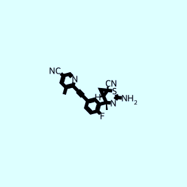 Cc1cc(C#N)cnc1C#Cc1ccc(F)c([C@@]2(C)N=C(N)S[C@@]3(C#N)C[C@H]32)c1